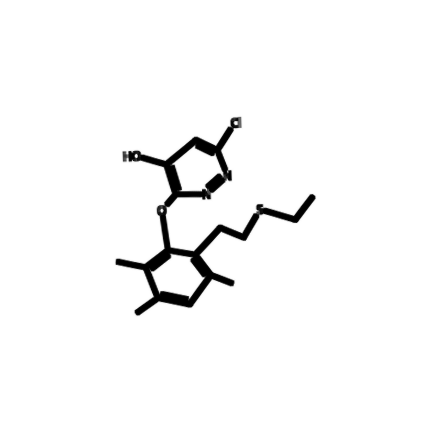 CCSCCc1c(C)cc(C)c(C)c1Oc1nnc(Cl)cc1O